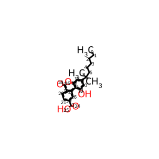 CCCCCCC(C)(C)c1cc(O)c2c(c1)oc(=O)c1ccc(C(=O)O)cc12